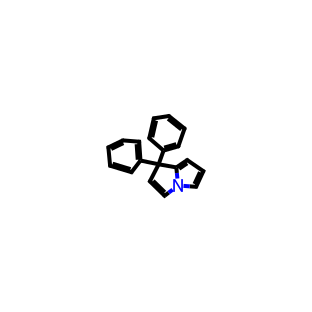 C1=CC(c2ccccc2)(c2ccccc2)c2cccn21